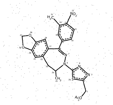 CC(=O)OCc1nnc(N2N=C(c3ccc([N+](=O)[O-])c(C)c3)c3cc4c(cc3CC2C)OCO4)s1